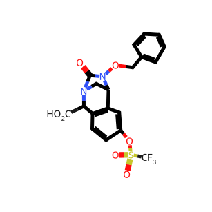 O=C(O)C1c2ccc(OS(=O)(=O)C(F)(F)F)cc2C2CN1C(=O)N2OCc1ccccc1